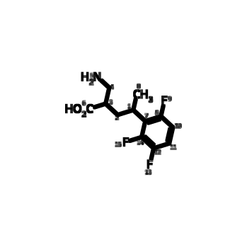 CC(CC(CN)C(=O)O)c1c(F)ccc(F)c1F